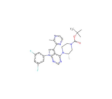 Cc1nccnc1-c1cn(-c2cc(F)cc(F)c2)c2ncnc(N3CCN(C(=O)OC(C)(C)C(F)(F)F)C[C@@H]3C)c12